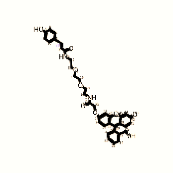 O=C(/C=C/c1ccc(O)cc1)NCCOCCOCCNC(=O)COc1ccc2c(-c3ccccc3C(=O)O)c3ccc(=O)cc-3oc2c1